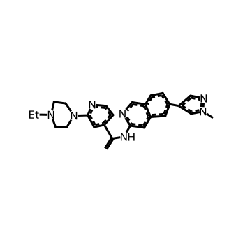 C=C(Nc1cc2cc(-c3cnn(C)c3)ccc2cn1)c1ccnc(N2CCN(CC)CC2)c1